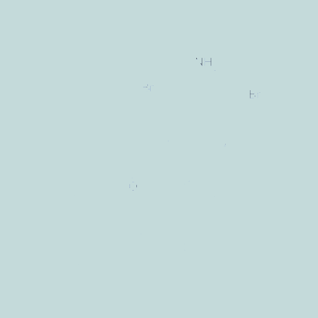 Nc1c(Br)cc(-c2cccc3c2oc2ccccc23)cc1Br